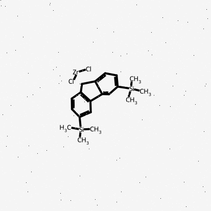 C[Si](C)(C)c1ccc2c(c1)-c1cc([Si](C)(C)C)ccc1[CH]2.[Cl][Zr][Cl]